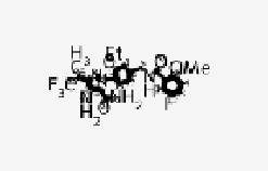 CCOc1cc(CNC(=O)c2cc(F)ccc2OC)ccc1-n1nc(C(C)C(F)(F)F)c(N)c1C(N)=O